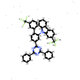 FC(F)(F)c1cccc(-c2ccc(-c3nc(-c4ccccc4)nc(-c4ccccc4)n3)cc2-n2c3ccccc3c3ccc(C(F)(F)F)cc32)c1